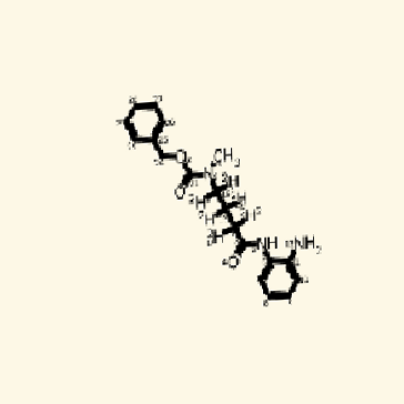 [2H]C([2H])(C(=O)Nc1ccccc1N)C([2H])([2H])C([2H])([2H])N(C)C(=O)OCc1ccccc1